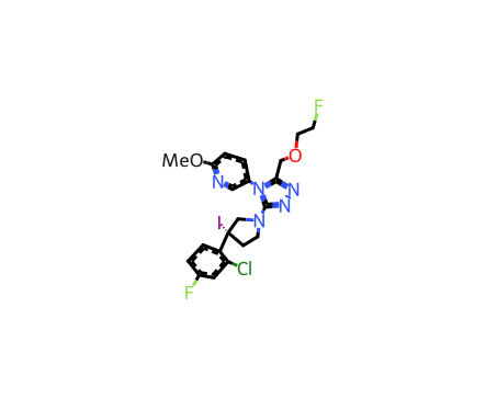 COc1ccc(-n2c(COCCF)nnc2N2CC[C@@](I)(c3ccc(F)cc3Cl)C2)cn1